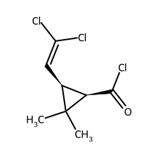 CC1(C)[C@H](C(=O)Cl)[C@@H]1C=C(Cl)Cl